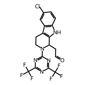 O=CCC1c2[nH]c3ccc(Cl)cc3c2CCN1c1nc(C(F)(F)F)nc(C(F)(F)F)n1